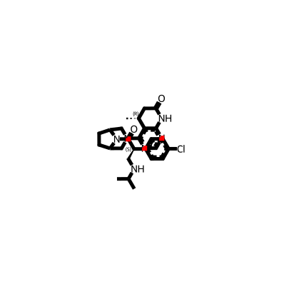 CC(C)NC[C@@H](C(=O)N1C2CCC1CN(c1ncnc3c1[C@H](C)CC(=O)N3)C2)c1ccc(Cl)cc1